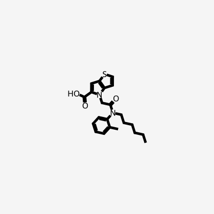 CCCCCCN(C(=O)Cn1c(C(=O)O)cc2sccc21)c1ccccc1C